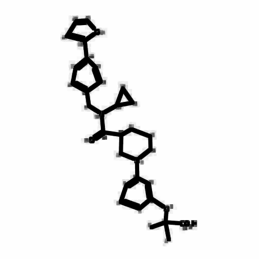 CC(C)(Oc1cccc(N2CCCC(C(=O)N(Cc3ccc(-c4ccco4)cc3)C3CC3)C2)c1)C(=O)O